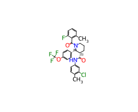 Cc1ccc(NC(=O)[C@H]2CCCN(C(=O)c3c(C)cccc3F)[C@H]2c2ccc(OC(F)(F)F)cc2)cc1Cl